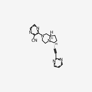 N#Cc1nccnc1N1CCN2[C@@H](CC[C@@H]2C#Cc2ncccn2)C1